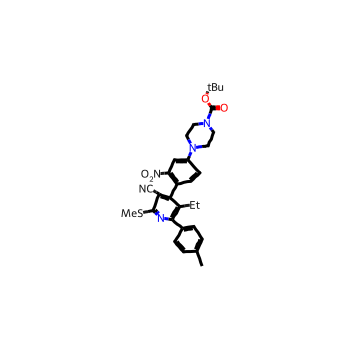 CCc1c(-c2ccc(C)cc2)nc(SC)c(C#N)c1-c1ccc(N2CCN(C(=O)OC(C)(C)C)CC2)cc1[N+](=O)[O-]